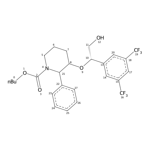 CCCCOC(=O)N1CCCC(O[C@H](CO)c2cc(C(F)(F)F)cc(C(F)(F)F)c2)C1c1ccccc1